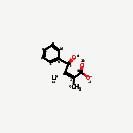 CC(=CC(=O)c1ccccc1)C(=O)[O-].[Li+]